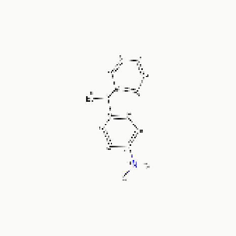 CCC(c1ccccc1)c1ccc(N(C)C)cc1